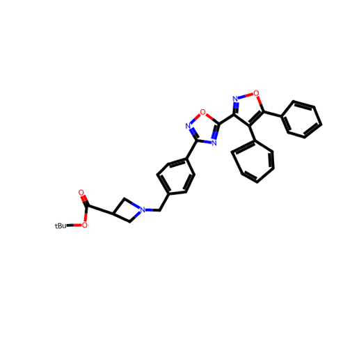 CC(C)(C)OC(=O)C1CN(Cc2ccc(-c3noc(-c4noc(-c5ccccc5)c4-c4ccccc4)n3)cc2)C1